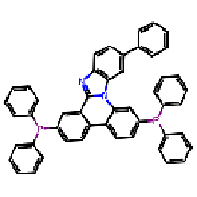 c1ccc(-c2ccc3nc4c5cc(P(c6ccccc6)c6ccccc6)ccc5c5ccc(P(c6ccccc6)c6ccccc6)cc5n4c3c2)cc1